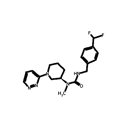 CN(C(=O)NCc1ccc(C(F)F)cc1)[C@@H]1CCCN(c2cccnn2)C1